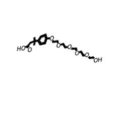 CC(C)(CC(=O)O)c1ccc(OCCOCCOCCOCCOCCO)cc1